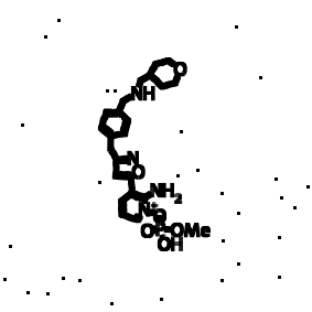 COP(=O)(O)O[n+]1cccc(-c2cc(Cc3ccc(CNCC4CCOCC4)cc3)no2)c1N